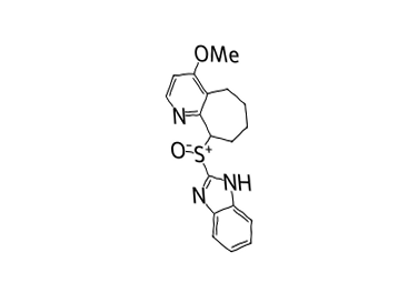 COc1ccnc2c1CCCCC2[S+]([O-])c1nc2ccccc2[nH]1